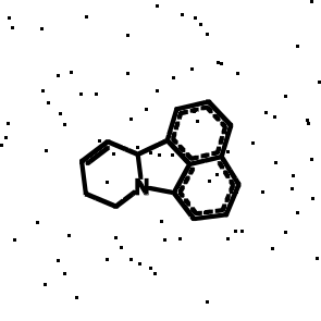 C1=CC2c3cccc4cccc(c34)N2CC1